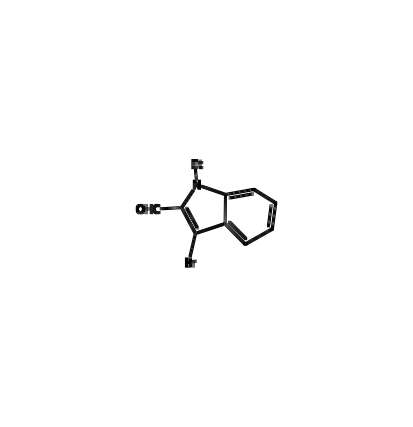 CCn1c(C=O)c(Br)c2ccccc21